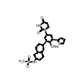 COc1c(-c2ccc3cc(NS(C)(=O)=O)ccc3c2)cc(-n2ccc(=O)[nH]c2=O)cc1-c1cccs1